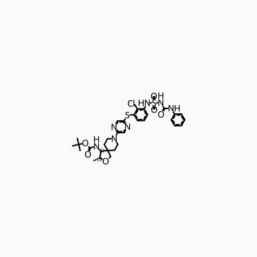 C[C@@H]1OCC2(CCN(c3cnc(Sc4cccc(NS(=O)(=O)NC(=O)Nc5ccccc5)c4Cl)cn3)CC2)[C@@H]1NC(=O)OC(C)(C)C